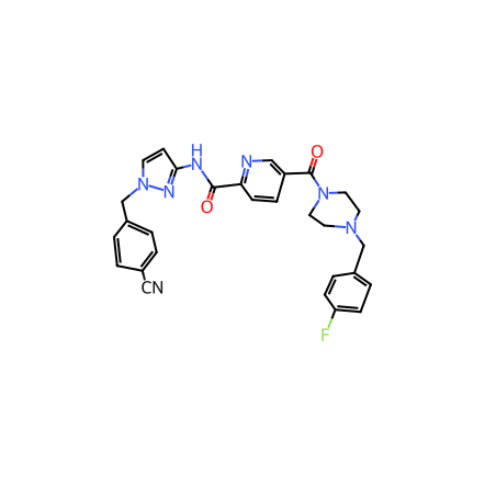 N#Cc1ccc(Cn2ccc(NC(=O)c3ccc(C(=O)N4CCN(Cc5ccc(F)cc5)CC4)cn3)n2)cc1